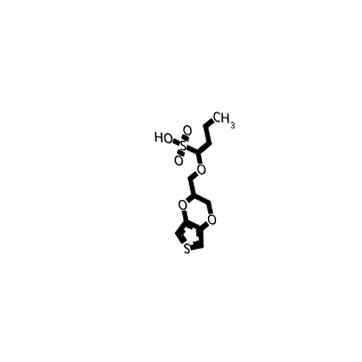 CCCC(OCC1COc2cscc2O1)S(=O)(=O)O